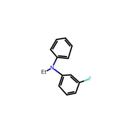 CCN(c1ccccc1)c1cccc(F)c1